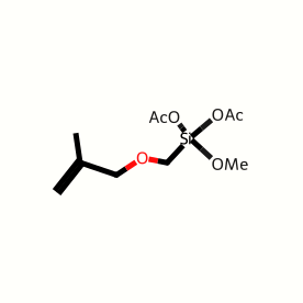 C=C(C)COC[Si](OC)(OC(C)=O)OC(C)=O